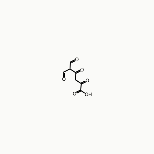 O=CC(C=O)C(=O)CC(=O)C(=O)O